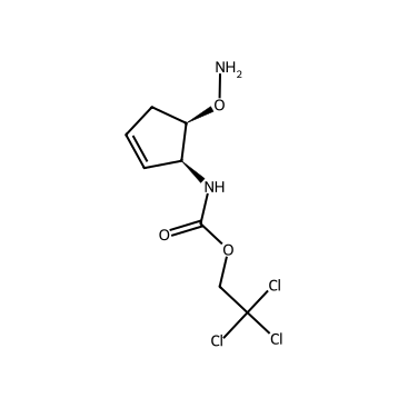 NO[C@@H]1CC=C[C@@H]1NC(=O)OCC(Cl)(Cl)Cl